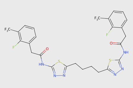 O=C(Cc1cccc(C(F)(F)F)c1F)Nc1nnc(CCCCc2nnc(NC(=O)Cc3cccc(C(F)(F)F)c3F)s2)s1